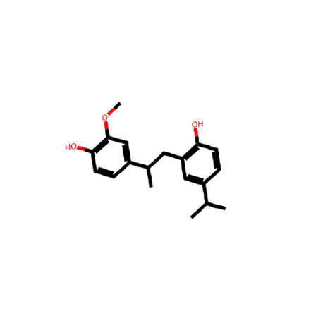 COc1cc(C(C)Cc2cc(C(C)C)ccc2O)ccc1O